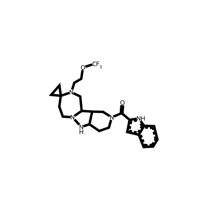 O=C(c1cc2ccccc2[nH]1)N1CCC2NN3CCC4(CC4)N(CCOC(F)(F)F)CC3C2C1